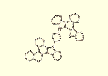 c1ccc2c(c1)ccc1c2c2ccccc2c2c1c1ccccc1n2-c1ccc(-n2c3ccccc3c3c4ccccc4c4c5ccccc5sc4c32)cc1